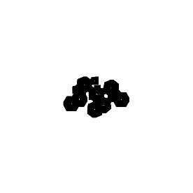 Clc1ccc2sc3c4ccccc4ccc3c2c1-c1nc(-c2ccccc2)nc(-c2cccc3c4ccccc4n(-c4ccccc4)c23)n1